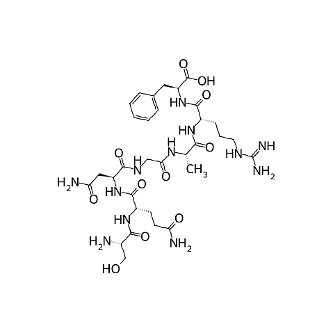 C[C@H](NC(=O)CNC(=O)[C@H](CC(N)=O)NC(=O)[C@H](CCC(N)=O)NC(=O)[C@@H](N)CO)C(=O)N[C@@H](CCCNC(=N)N)C(=O)N[C@@H](Cc1ccccc1)C(=O)O